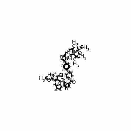 CCCN(Cc1ncc(-c2ccc(N3CCN(C(=O)c4cnc([C@@H]5CCCN5C(=O)[C@@H](NC(=O)OC)C(C)C)[nH]4)CC3)cc2)[nH]1)C(=O)[C@@H](NC(=O)OC)C(C)C